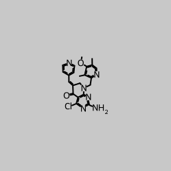 COc1c(C)cnc(CN2C/C(=C\c3ccncc3)C(=O)c3c(Cl)nc(N)nc32)c1C